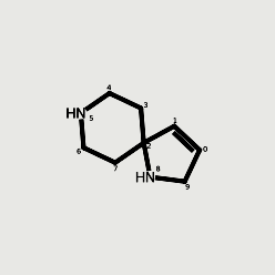 C1=CC2(CCNCC2)NC1